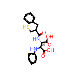 O=C(N[C@H](C(=O)O)C(Nc1ccccc1)C(=O)O)C(CS)Cc1ccccc1